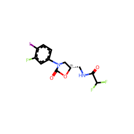 O=C(NC[C@H]1CN(c2ccc(I)c(F)c2)C(=O)O1)C(F)F